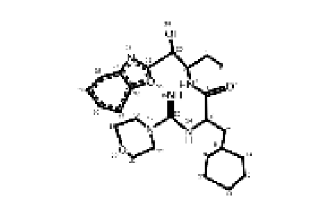 CCC(NC(=O)C(CC1CCCCC1)NC(=N)N1CCOCC1)C(O)c1nc2ccccc2o1